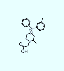 Cc1cccc([C@@H](c2ccccc2)N2CCN(CC(=O)O)C(C)C2)c1